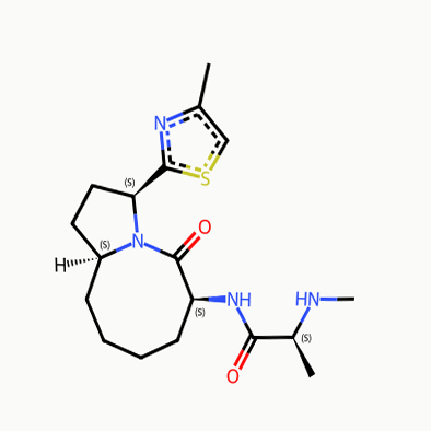 CN[C@@H](C)C(=O)N[C@H]1CCCC[C@H]2CC[C@@H](c3nc(C)cs3)N2C1=O